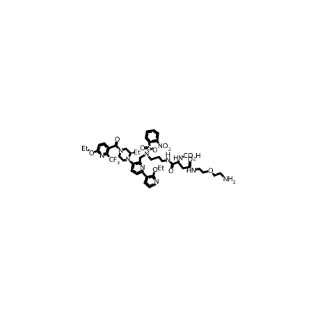 CCOc1ccc(C(=O)N2CCN(c3ccc(-c4cccnc4OCC)nc3CN(CCCNC(=O)C(CC(=O)NCCOCCN)NC(=O)O)S(=O)(=O)c3ccccc3[N+](=O)[O-])[C@H](CC)C2)c(C(F)(F)F)n1